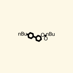 CCCCC(=O)OC1CCCC(C2CCC(CCCC)CC2)C1